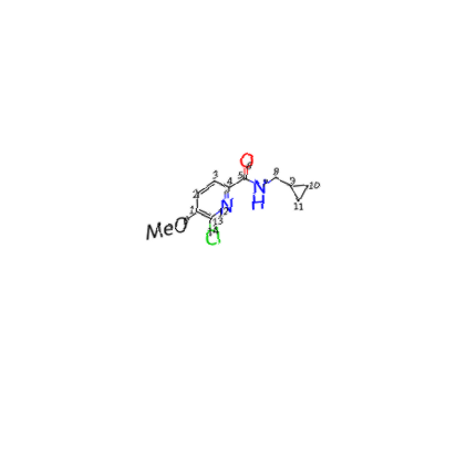 COc1ccc(C(=O)NCC2CC2)nc1Cl